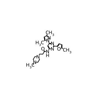 Cc1cc(C)n(-c2cc(NC(=O)CCN3CCN(C)CC3)nc(-c3ccc(C)o3)n2)n1